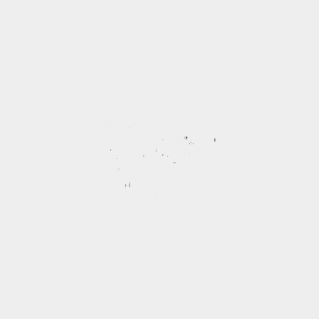 C=CC(=O)C1CCCNC12C(=O)c1ccccc1N2c1ccc(C)cc1